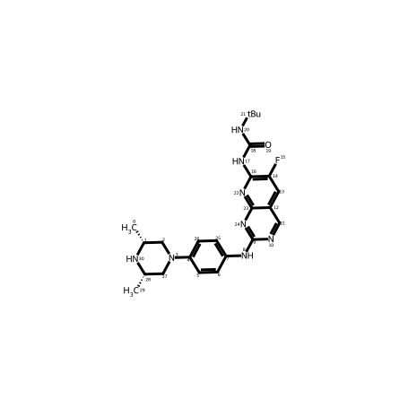 C[C@@H]1CN(c2ccc(Nc3ncc4cc(F)c(NC(=O)NC(C)(C)C)nc4n3)cc2)C[C@H](C)N1